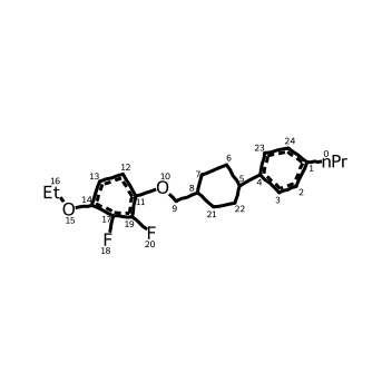 CCCc1ccc(C2CCC(COc3ccc(OCC)c(F)c3F)CC2)cc1